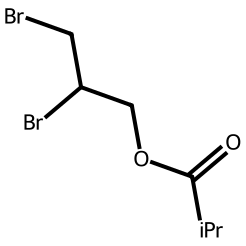 CC(C)C(=O)OCC(Br)CBr